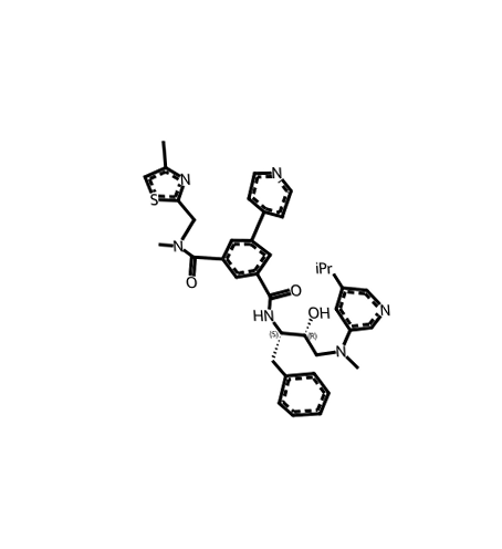 Cc1csc(CN(C)C(=O)c2cc(C(=O)N[C@@H](Cc3ccccc3)[C@H](O)CN(C)c3cncc(C(C)C)c3)cc(-c3ccncc3)c2)n1